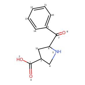 O=C(O)C1CNC(C(=O)c2ccccc2)C1